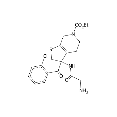 CCOC(=O)N1CCC2=C(C1)SCC2(NC(=O)CN)C(=O)c1ccccc1Cl